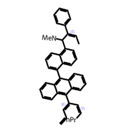 C=C/C=C(\C=C/CCC)c1c2ccccc2c(-c2cccc3c(C(NC)/C(=C\C)c4ccccc4)cccc23)c2ccccc12